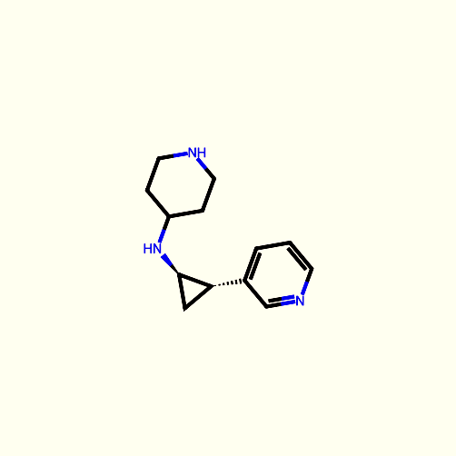 c1cncc([C@@H]2C[C@H]2NC2CCNCC2)c1